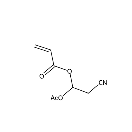 C=CC(=O)OC(CC#N)OC(C)=O